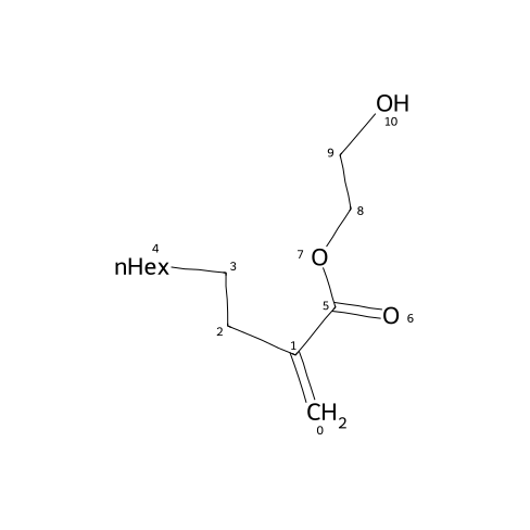 C=C(CCCCCCCC)C(=O)OCCO